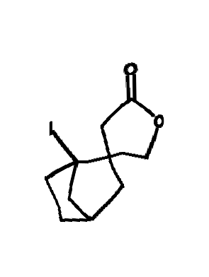 O=C1CC2(CO1)CC1CCC2(I)C1